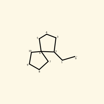 [CH2]CC1CCCC12CCCC2